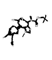 CN(C(=O)OC(C)(C)C)c1nc(N)c(-c2ccc(F)c(C#N)c2)c2c1ncn2C